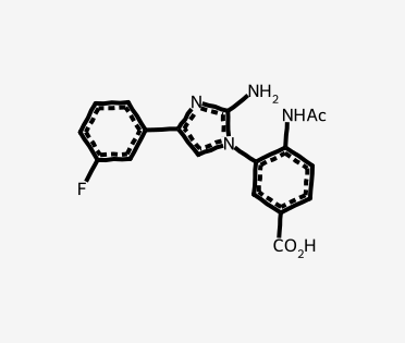 CC(=O)Nc1ccc(C(=O)O)cc1-n1cc(-c2cccc(F)c2)nc1N